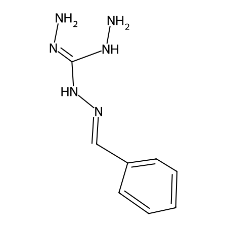 N/N=C(\NN)N/N=C/c1ccccc1